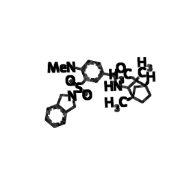 CNc1ccc(C(=O)NC2C(C)(C)[C@@H]3CC[C@@]2(C)C3)cc1S(=O)(=O)N1Cc2ccccc2C1